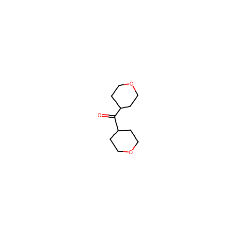 O=C(C1CCOCC1)C1CCOCC1